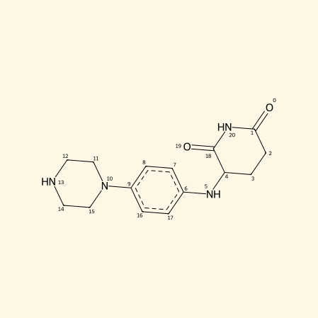 O=C1CCC(Nc2ccc(N3CCNCC3)cc2)C(=O)N1